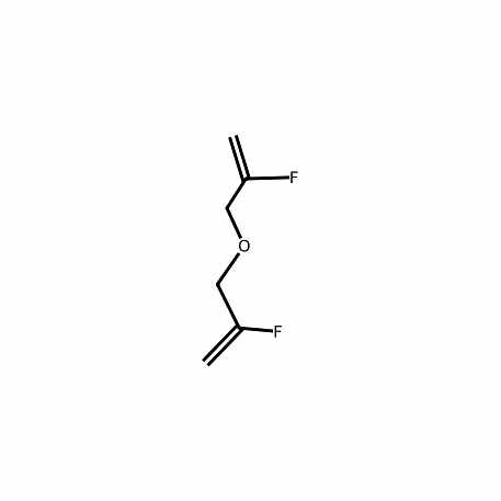 C=C(F)COCC(=C)F